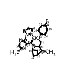 Cc1cnc(-n2nccn2)c(C(=O)N2C3CC(C3)C(C)C2COc2ccc(F)cc2)n1